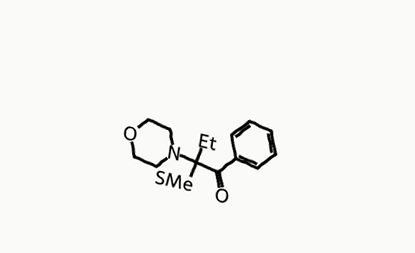 CCC(SC)(C(=O)c1ccccc1)N1CCOCC1